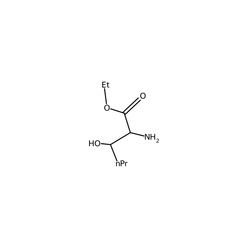 CCCC(O)C(N)C(=O)OCC